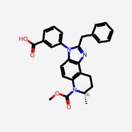 COC(=O)N1c2ccc3c(nc(Cc4ccccc4)n3-c3cccc(C(=O)O)c3)c2CC[C@@H]1C